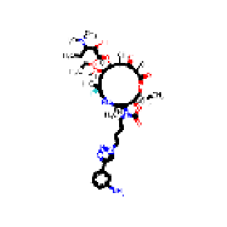 CCO[C@@H](O[C@@H]1[C@@H](C)C(=O)[C@@H](C)C(=O)O[C@H](CC)[C@@]2(C)OC(=O)N(CCCCn3cc(-c4cccc(N)c4)nn3)[C@@H]2[C@@H](C)NCC(C)(F)C[C@@]1(C)OC)C(O)C(CC)N(C)C